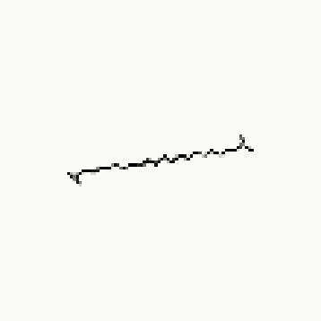 CN(C)CCCCCCCCCCCCCCCCCCCCN(C)C